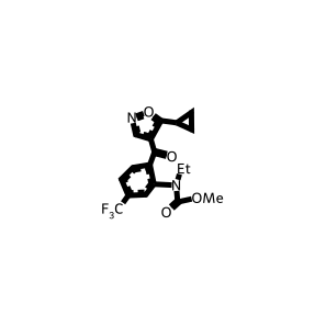 CCN(C(=O)OC)c1cc(C(F)(F)F)ccc1C(=O)c1cnoc1C1CC1